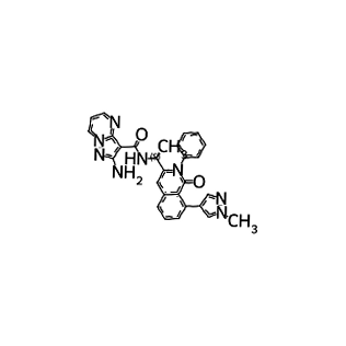 C[C@H](NC(=O)c1c(N)nn2cccnc12)c1cc2cccc(-c3cnn(C)c3)c2c(=O)n1-c1ccccc1